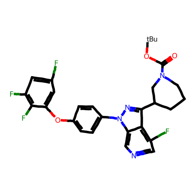 CC(C)(C)OC(=O)N1CCCC(c2nn(-c3ccc(Oc4cc(F)cc(F)c4F)cc3)c3cncc(F)c23)C1